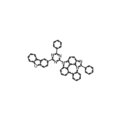 c1ccc(-c2nc(-c3ccc4oc5ccccc5c4c3)nc(-n3c4cccc5c6ccccc6n6c(-c7ccccc7)nc7ccc3c(c54)c76)n2)cc1